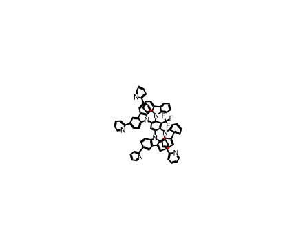 FC(F)(F)c1c(-n2c3ccccc3c3ccccc32)c(-n2c3ccc(-c4ccccn4)cc3c3cc(-c4ccccn4)ccc32)cc(-n2c3ccc(-c4ccccn4)cc3c3cc(-c4ccccn4)ccc32)c1-n1c2ccccc2c2ccccc21